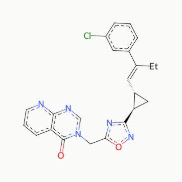 CC/C(=C\[C@@H]1C[C@H]1c1noc(Cn2cnc3ncccc3c2=O)n1)c1cccc(Cl)c1